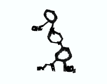 CC(C)CNc1cc(N2CCN(c3ccccc3C=O)CC2)ccc1[N+](=O)[O-]